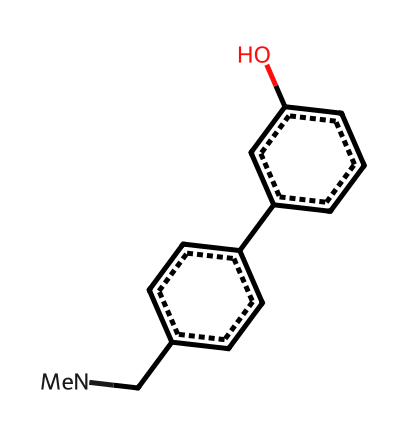 CNCc1ccc(-c2cccc(O)c2)cc1